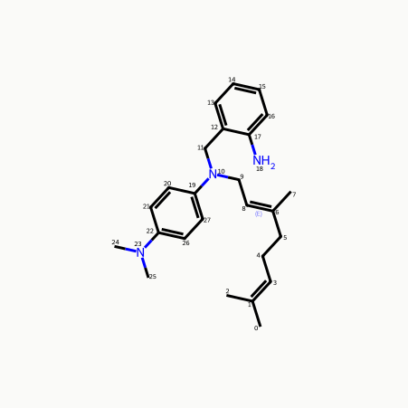 CC(C)=CCC/C(C)=C/CN(Cc1ccccc1N)c1ccc(N(C)C)cc1